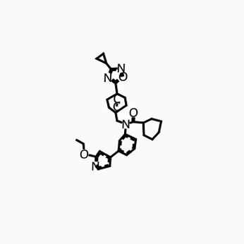 CCOc1cc(-c2cccc(N(CC34CCC(c5nc(C6CC6)no5)(CC3)CC4)C(=O)C3CCCCC3)c2)ccn1